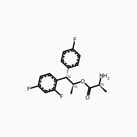 C[C@H](N)C(=O)O[C@@H](C)[C@@H](c1ccc(F)cc1)c1ccc(F)cc1F